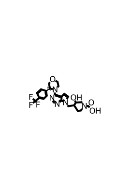 O=C(O)N1CCC(Cn2ccc3c(N4CCOC[C@@H]4c4ccc(C(F)(F)F)cc4)ncnc32)C(O)C1